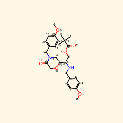 COc1ccc(CN[C@H](COC(=O)C(C)(C)C)[C@@H]2CN(Cc3ccc(OC)cc3)C(=O)CO2)cc1